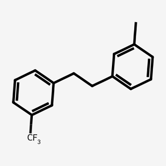 Cc1cccc(CCc2cccc(C(F)(F)F)c2)c1